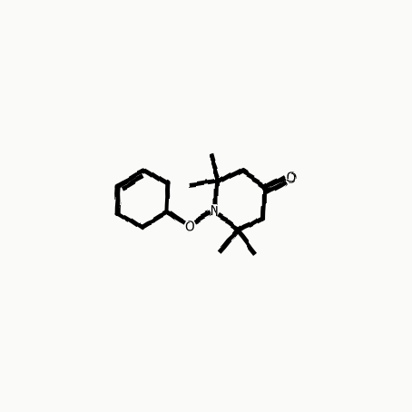 CC1(C)CC(=O)CC(C)(C)N1OC1CC=CCC1